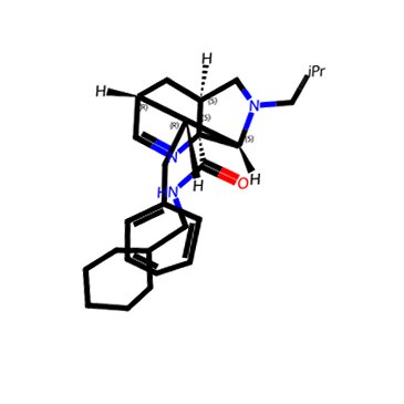 CC(C)CN1C[C@@H]2C[C@H]3C=N[C@]2(C(=O)NCC2CCCCC2)[C@@H]1[C@@H]3Cc1ccccc1